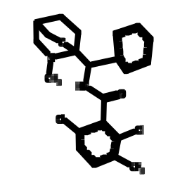 CN1CC2CCC1(C(NC(=O)c1c(Cl)ccc(C(F)(F)F)c1Cl)c1ccccc1)CC2